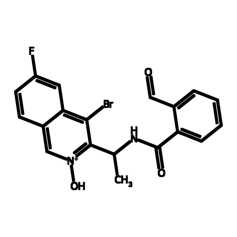 CC(NC(=O)c1ccccc1C=O)c1c(Br)c2cc(F)ccc2c[n+]1O